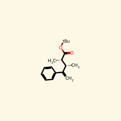 C=C(c1ccccc1)[C@@H](C)[C@H](C)C(=O)OC(C)(C)C